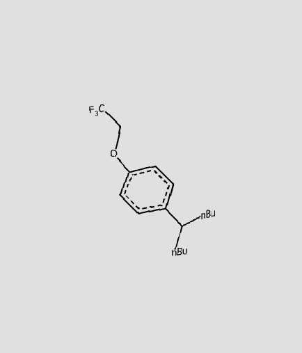 CCCCC(CCCC)c1ccc(OCC(F)(F)F)cc1